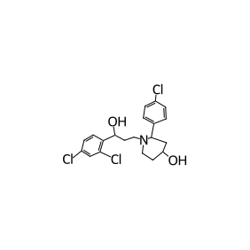 OC1CCN(CCC(O)c2ccc(Cl)cc2Cl)C(c2ccc(Cl)cc2)C1